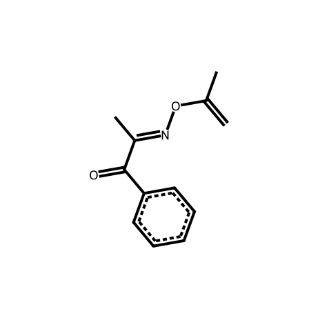 C=C(C)ON=C(C)C(=O)c1ccccc1